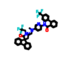 CN(CCCC1(C(=O)NCC(F)(F)F)c2ccccc2-c2ccccc21)c1ccc(NC(=O)c2ccccc2-c2ccc(C(F)(F)F)cc2)nc1